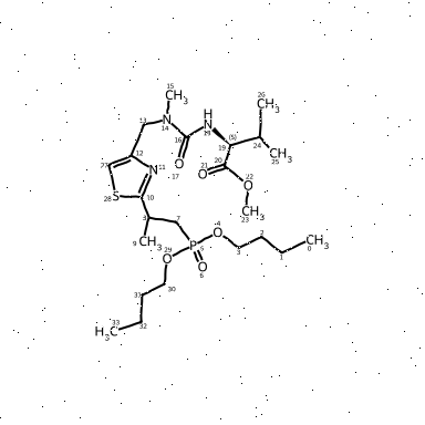 CCCCOP(=O)(CC(C)c1nc(CN(C)C(=O)N[C@H](C(=O)OC)C(C)C)cs1)OCCCC